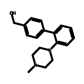 CN1CCN(c2ccccc2-c2ccc(CO)cc2)CC1